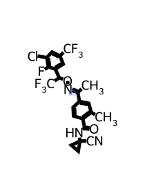 C/C(=N\OC(c1cc(C(F)(F)F)cc(Cl)c1F)C(F)(F)F)c1ccc(C(=O)NC2(C#N)CC2)c(C)c1